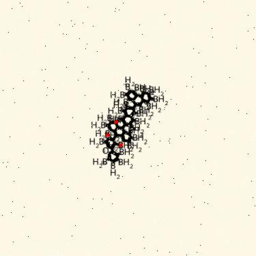 Bc1c(B)c(B)c2c(oc3c(B)c(B)c(-c4c5c(B)c(B)c(B)c(B)c5c(-c5c(B)c(B)c6c(B)c(-c7c(B)c8c(B)c(B)c(B)c(B)c8c8c(B)c(B)c(B)c(B)c78)c(B)c(B)c6c5B)c5c(B)c(B)c(B)c(B)c45)c(B)c32)c1B